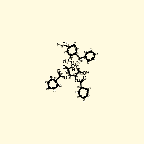 Cc1ccc([C@@H](N)c2ccccc2)c(C)c1.O=C(O[C@H](C(=O)O)[C@H](OC(=O)c1ccccc1)C(=O)O)c1ccccc1